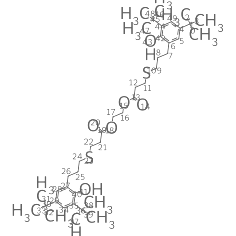 CC(C)(C)c1cc(CCCSCCC(=O)OCCOC(=O)CCSCCCc2cc(C(C)(C)C)cc(C(C)(C)C)c2O)c(O)c(C(C)(C)C)c1